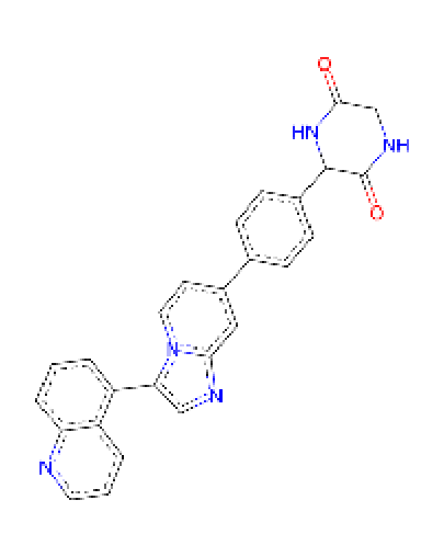 O=C1CNC(=O)C(c2ccc(-c3ccn4c(-c5cccc6ncccc56)cnc4c3)cc2)N1